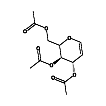 CC(=O)OCC1OC=C[C@H](OC(C)=O)[C@H]1OC(C)=O